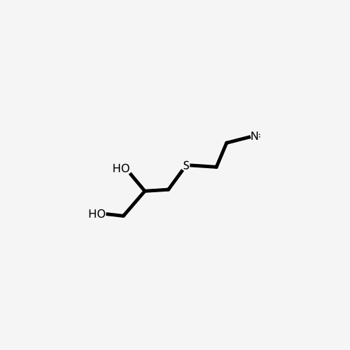 [N]CCSCC(O)CO